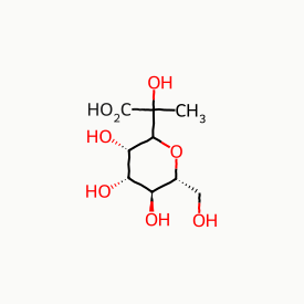 CC(O)(C(=O)O)C1O[C@H](CO)[C@@H](O)[C@H](O)[C@@H]1O